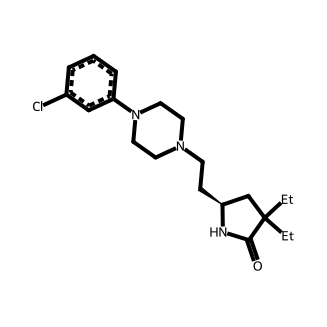 CCC1(CC)C[C@H](CCN2CCN(c3cccc(Cl)c3)CC2)NC1=O